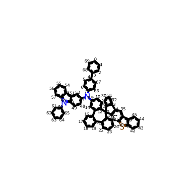 c1ccc(-c2ccc(N(c3ccc4c(c3)-c3ccccc3-c3ccccc3C43c4ccccc4-c4cc5c(cc43)sc3ccccc35)c3ccc4c(c3)c3ccccc3n4-c3ccccc3)cc2)cc1